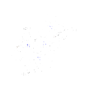 CC(C)(C)c1ccc2c(c1)C1(C)CCCCC1(C)N2c1ccc2c(c1)N(c1cccc3c1sc1ccccc13)c1cc(N3c4ccc(C(C)(C)C)cc4C4(C)CCCCC34C)cc3c1B2c1cc(C(C)(C)C)cc2c4sc5ccccc5c4n-3c12